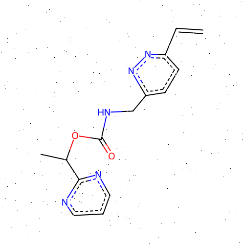 C=Cc1ccc(CNC(=O)OC(C)c2ncccn2)nn1